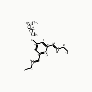 CCN=Cc1cc(C)cc(C=NCC)n1.[Cl-].[Cl-].[Cl-].[Nd+3]